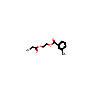 CC(=O)CC(=O)OCCOC(=O)c1cccc([N+](=O)[O-])c1